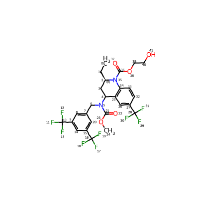 CC[C@@H]1CC(N(Cc2cc(C(F)(F)F)cc(C(F)(F)F)c2)C(=O)OC)c2cc(C(F)(F)F)ccc2N1C(=O)OCCO